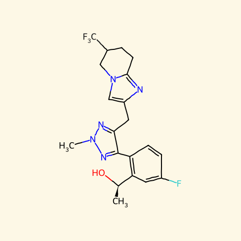 C[C@@H](O)c1cc(F)ccc1-c1nn(C)nc1Cc1cn2c(n1)CCC(C(F)(F)F)C2